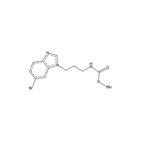 CC(C)(C)OC(=O)NCCCn1cnc2ccc(Br)cc21